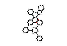 c1ccc(-c2nc(-c3ccccc3)nc(-c3ccccc3-c3ccc4c(ccc5c6sc7ccccc7c6c6ccccc6c45)c3)n2)cc1